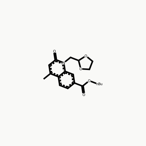 CCCCOC(=O)c1ccc2c(C)cc(=O)n(CC3OCCO3)c2c1